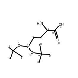 CC(C)(C)OP(CCC(N)C(=O)O)OC(C)(C)C